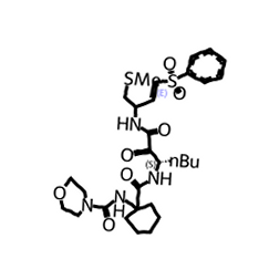 CCCC[C@H](NC(=O)C1(NC(=O)N2CCOCC2)CCCCC1)C(=O)C(=O)NC(/C=C/S(=O)(=O)c1ccccc1)CSC